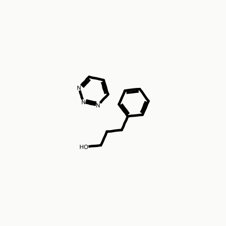 OCCCc1ccccc1.c1cnnnc1